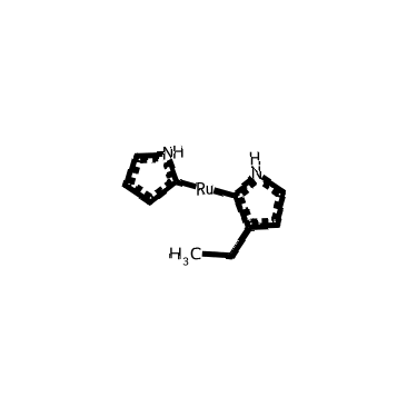 CCc1cc[nH][c]1[Ru][c]1ccc[nH]1